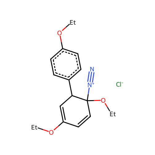 CCOC1=CC(c2ccc(OCC)cc2)C([N+]#N)(OCC)C=C1.[Cl-]